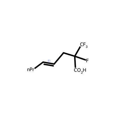 CCC/C=C/CC(F)(C(=O)O)C(F)(F)F